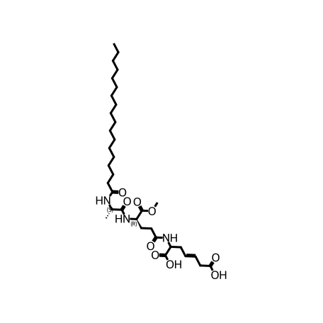 CCCCCCCCCCCCCCCCCC(=O)N[C@@H](C)C(=O)N[C@H](CCC(=O)NC(CC=CCC(=O)O)C(=O)O)C(=O)OC